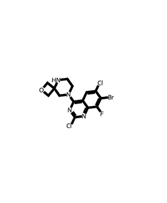 Fc1c(Br)c(Cl)cc2c(N3CCNC4(COC4)C3)nc(Cl)nc12